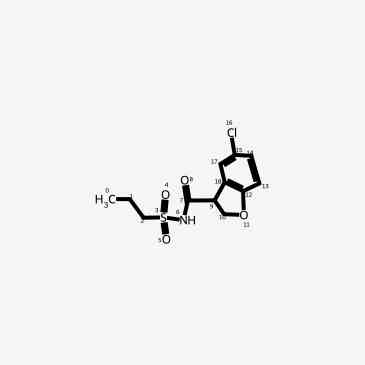 CCCS(=O)(=O)NC(=O)C1COc2ccc(Cl)cc21